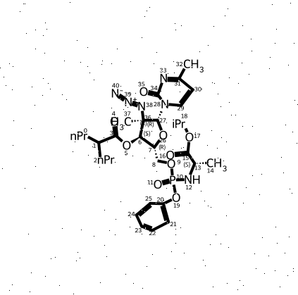 CCCC(CCC)C(=O)O[C@@H]1[C@@H](COP(=O)(N[C@@H](C)C(=O)OC(C)C)Oc2ccccc2)O[C@@H](n2ccc(C)nc2=O)[C@]1(C)N=[N+]=[N-]